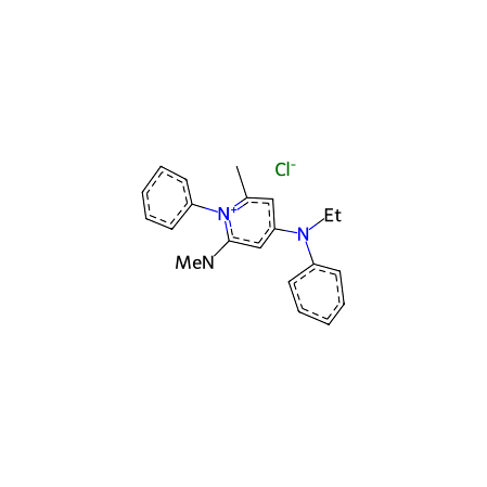 CCN(c1ccccc1)c1cc(C)[n+](-c2ccccc2)c(NC)c1.[Cl-]